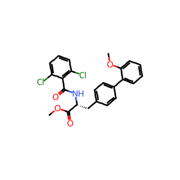 COC(=O)[C@@H](Cc1ccc(-c2ccccc2OC)cc1)NC(=O)c1c(Cl)cccc1Cl